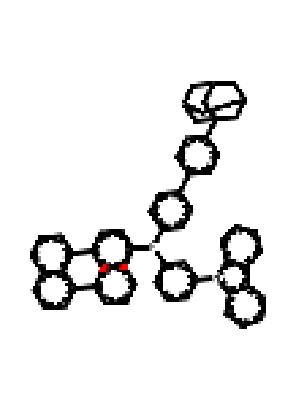 c1ccc(-c2cccc3cccc(-c4ccc(N(c5ccc(-c6ccc(C78CC9CC(CC(C9)C7)C8)cc6)cc5)c5cccc(-n6c7ccccc7c7ccccc76)c5)cc4)c23)cc1